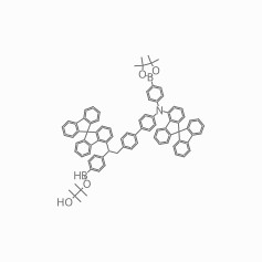 CC(C)(O)C(C)(C)OBc1ccc(C(Cc2ccc(-c3ccc(N(c4ccc(B5OC(C)(C)C(C)(C)O5)cc4)c4cccc5c4-c4ccccc4C54c5ccccc5-c5ccccc54)cc3)cc2)c2cccc3c2-c2ccccc2C32c3ccccc3-c3ccccc32)cc1